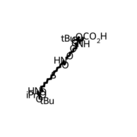 CC(C)C(NC(=O)CCCCCCCSCCCCCC(=O)NCCOCCOCC(=O)NC(CCC(=O)O)C(=O)OC(C)(C)C)C(=O)OC(C)(C)C